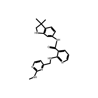 CNc1nccc(CNc2ncccc2C(=O)Nc2ccc3c(c2)NCC3(C)C)n1